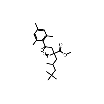 COC(=O)C(CC(=O)c1c(C)cc(C)cc1C)(CC(C)CC(C)(C)C)P=O